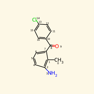 Cc1c(N)cccc1C(=O)c1ccc(Cl)cc1